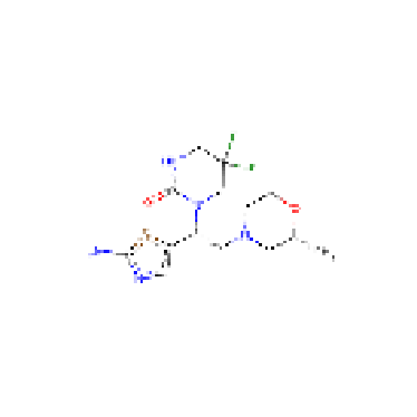 C[C@@H]1CN(C[C@H](c2cnc(N)s2)N2CC(F)(F)CNC2=O)CCO1